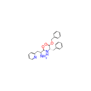 N[C@@H](Cc1ccccn1)C(=O)N[C@@H](Cc1ccccc1)C(=O)OCc1ccccc1